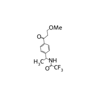 COCCC(=O)c1ccc(C(C)NC(=O)C(F)(F)F)cc1